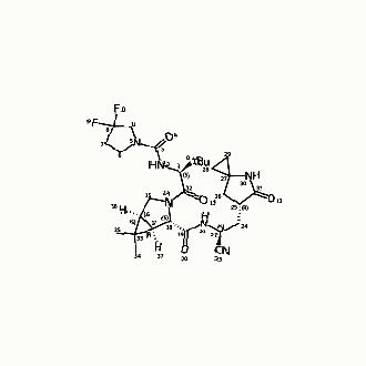 CC(C)(C)[C@H](NC(=O)N1CCC(F)(F)C1)C(=O)N1C[C@H]2[C@@H]([C@H]1C(=O)N[C@H](C#N)C[C@@H]1CC3(CC3)NC1=O)C2(C)C